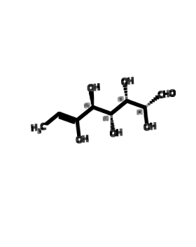 CC=C(O)[C@@H](O)[C@@H](O)[C@H](O)[C@@H](O)C=O